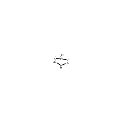 CC(C)(C)PC(C)(C)C.[Cl][Pd][Cl].[Pd]